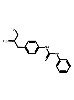 CCC(C)Cc1ccc(NC(=O)Nc2ccccc2)cc1